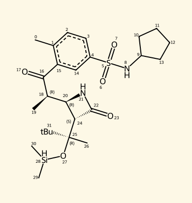 Cc1ccc(S(=O)(=O)NC2CCCC2)cc1C(=O)[C@H](C)[C@H]1NC(=O)[C@@H]1[C@@](C)(O[SiH](C)C)C(C)(C)C